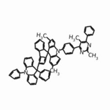 Cc1ccc2c(c1)C1(c3ccccc3-c3cc(C4(c5ccccc5)c5ccccc5N(c5ccccc5)c5ccccc54)ccc31)c1cc(C)ccc1N2c1ccc(-c2nc(C)nc(-c3ccccc3)c2C)cc1